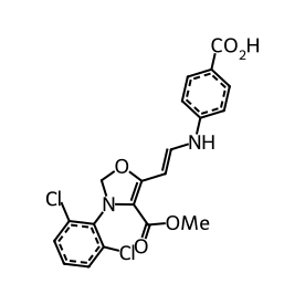 COC(=O)C1=C(C=CNc2ccc(C(=O)O)cc2)OCN1c1c(Cl)cccc1Cl